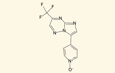 [O-][n+]1ccc(-c2cnc3nc(C(F)(F)F)cnn23)cc1